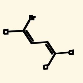 ClC(Cl)=CC=C(Cl)Br